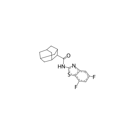 O=C(Nc1nc2cc(F)cc(F)c2s1)C1C2CC3CC(C2)CC1C3